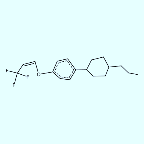 CCCC1CCC(c2ccc(O/C=C\C(F)(F)F)cc2)CC1